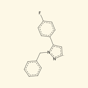 Fc1ccc(-c2c[c]nn2Cc2ccccc2)cc1